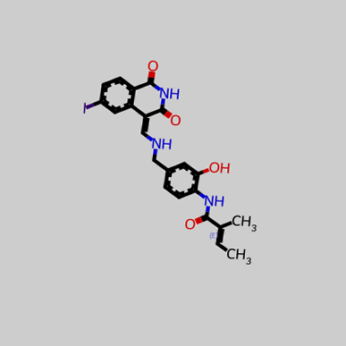 C/C=C(\C)C(=O)Nc1ccc(CNC=C2C(=O)NC(=O)c3ccc(I)cc32)cc1O